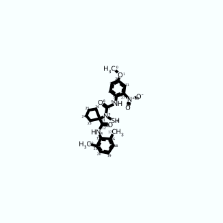 COc1ccc(NC(=O)N(S)C2(C(=O)Nc3c(C)cccc3C)CCCC2)c([N+](=O)[O-])c1